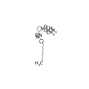 CCCCCCCCCCc1ccc(-c2noc(C3CCCCN(C(=O)OC(C)(C)C)C3)n2)cc1